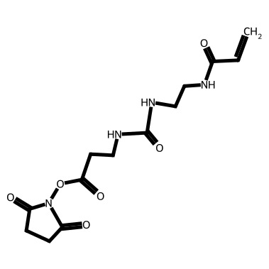 C=CC(=O)NCCNC(=O)NCCC(=O)ON1C(=O)CCC1=O